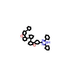 c1ccc(C2=NC(c3ccc4c(c3)oc3cccc(-c5ccccc5-c5cccc6oc7ccc(-c8ccccc8)cc7c56)c34)=NC(c3ccccc3)N2)cc1